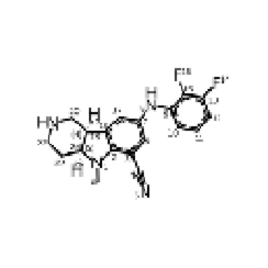 CN1c2c(C#N)cc(Nc3cccc(F)c3F)cc2[C@@H]2CNCC[C@@H]21